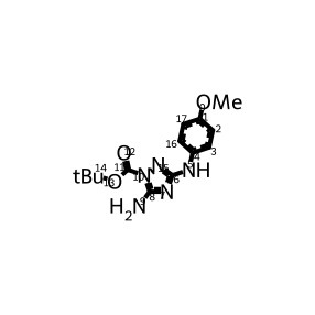 COc1ccc(Nc2nc(N)n(C(=O)OC(C)(C)C)n2)cc1